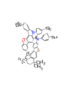 CC(C)(C)c1ccc(N2B3c4cc(C(C)(C)C)ccc4-n4c5ccc(C(C)(C)C)cc5c5c6oc7ccccc7c6c(c3c54)-c3cc4c(cc32)sc2cc3c(cc24)C(C)(C)CCC3(C)C)cc1